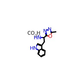 Cc1nnc(C(Cc2c[nH]c3ccccc23)NC(=O)O)o1